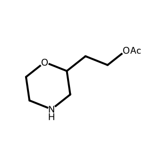 CC(=O)OCCC1CNCCO1